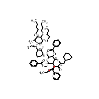 CCCCOC(=O)[C@H](CC1CCCCC1)O[C@@H]1C(OC(=O)c2ccccc2)C(O[C@@H]2CCCC(N=[N+]=[N-])[C@H]2O[C@@H]2OC(C)[C@@H](OCCCC)C(OCCCC)[C@@H]2OCCCC)O[C@@H](COC(=O)c2ccccc2)C1OC(=O)c1ccccc1